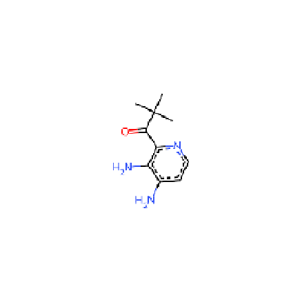 CC(C)(C)C(=O)c1nccc(N)c1N